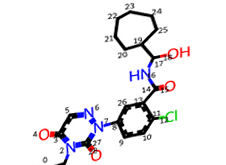 CC(=O)Cn1c(=O)cnn(-c2ccc(Cl)c(C(=O)NC(O)C3CCCCCC3)c2)c1=O